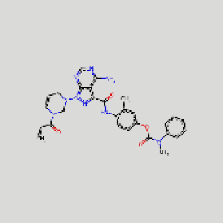 C=CC(=O)N1C=CCN(n2nc(C(=O)Nc3ccc(OC(=O)N(C)c4ccccc4)cc3C)c3c(N)ncnc32)C1